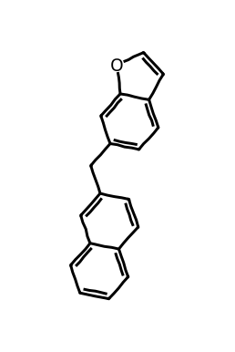 c1ccc2cc(Cc3ccc4ccoc4c3)ccc2c1